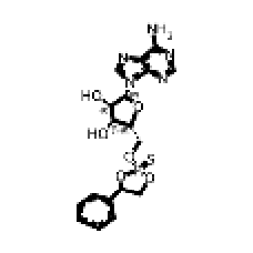 Nc1ncnc2c1ncn2[C@@H]1O[C@H](COP2(=S)OCC(c3ccccc3)O2)[C@@H](O)[C@H]1O